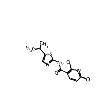 CC(C)c1cnc(NC(=O)c2ccc(Cl)nc2Cl)s1